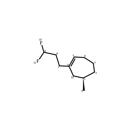 C[C@@H]1CCCC=C(CCC(F)F)C1